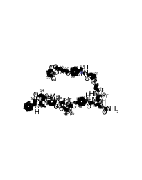 CC[C@H](C)[C@@H]([C@@H](CC(=O)N1CCC[C@H]1[C@H](OC)[C@@H](C)C(=O)N[C@H](C)[C@@H](O)c1ccccc1)OC)N(C)C(=O)[C@@H](NC(=O)[C@H](C(C)C)N(C)C(=O)OCc1ccc(NC(=O)[C@H](CCCNC(N)=O)NC(=O)[C@@H](NC(=O)CCSSC(C)(C)CC(=O)N/N=C(\C)c2ccc(OCCCC(=O)ON3C(=O)CCC3=O)cc2)C(C)C)cc1)C(C)C